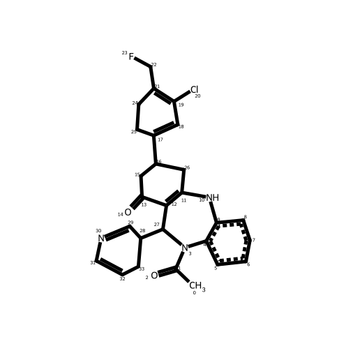 CC(=O)N1c2ccccc2NC2=C(C(=O)CC(C3=CC(Cl)=C(CF)CC3)C2)C1C1C=NC=CC1